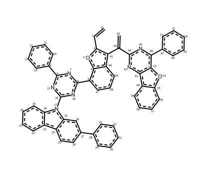 C=Cc1oc2c(-c3nc(-c4ccccc4)nc(-n4c5ccccc5c5ccc(-c6ccccc6)cc54)n3)cccc2c1C(=C)c1nc(-c2ccccc2)c2oc3ccccc3c2n1